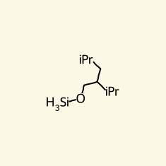 CC(C)CC(CO[SiH3])C(C)C